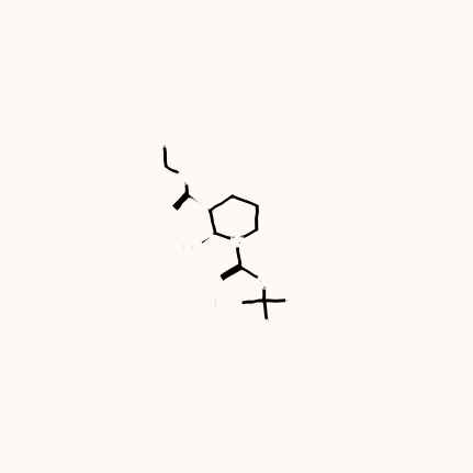 CCOC(=O)[C@H]1CCCN(C(=O)OC(C)(C)C)[C@H]1C